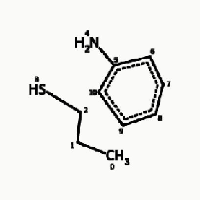 CCCS.Nc1ccccc1